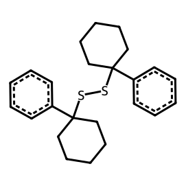 c1ccc(C2(SSC3(c4ccccc4)CCCCC3)CCCCC2)cc1